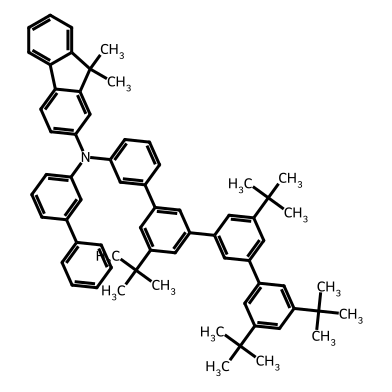 CC(C)(C)c1cc(-c2cccc(N(c3cccc(-c4ccccc4)c3)c3ccc4c(c3)C(C)(C)c3ccccc3-4)c2)cc(-c2cc(-c3cc(C(C)(C)C)cc(C(C)(C)C)c3)cc(C(C)(C)C)c2)c1